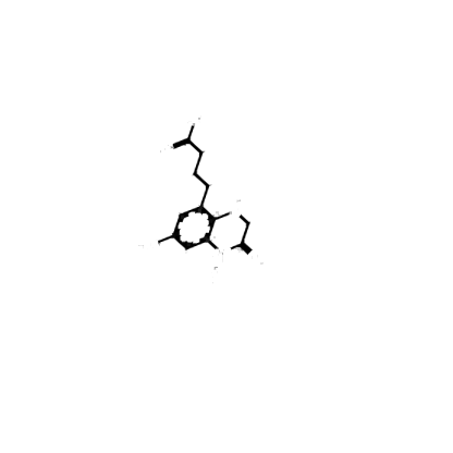 Cc1cc(CCCC(=O)O)c2c(c1)[NH+]([O-])C(=O)CO2